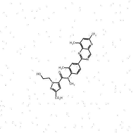 Cc1cc(-c2ncc3nc(C(F)(F)F)cc(C)c3n2)ccc1N(C)C(=O)c1cc(C(=O)O)nn1CCO